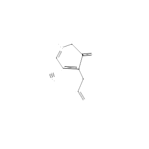 C#N.C=CCC1=CC=NCC1=O